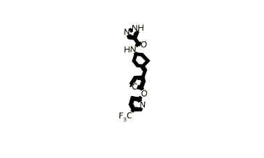 O=C(NC1CCC(=Cc2cccc(Oc3ccc(C(F)(F)F)cn3)c2)CC1)c1cn[nH]c1